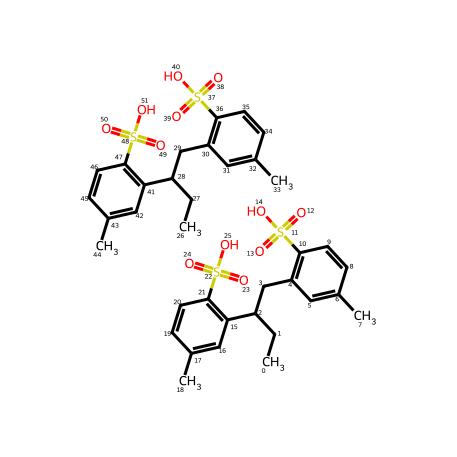 CCC(Cc1cc(C)ccc1S(=O)(=O)O)c1cc(C)ccc1S(=O)(=O)O.CCC(Cc1cc(C)ccc1S(=O)(=O)O)c1cc(C)ccc1S(=O)(=O)O